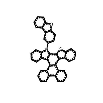 c1ccc2c(c1)oc1ccc(-n3c4ccccc4c4c5c6ccccc6c6ccccc6c5c5c6ccccc6sc5c43)cc12